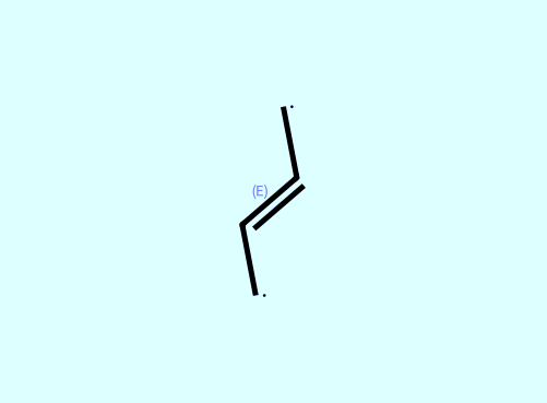 [CH2]/C=C/[CH2]